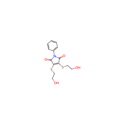 O=C1C(SCCO)=C(SCCO)C(=O)N1c1ccccc1